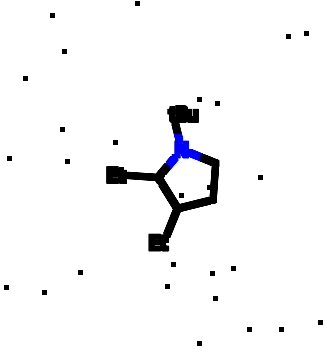 CCC1CCN(C(C)(C)C)C1CC